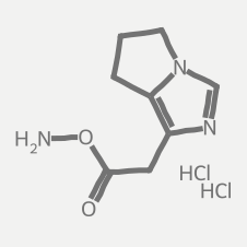 Cl.Cl.NOC(=O)Cc1ncn2c1CCC2